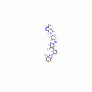 N#CC1(CNc2cccc(-c3cc(N[C@H]4CC[C@H](N5CCn6c(nnc6C(F)(F)F)C5)CC4)ncc3Cl)n2)CCOCC1